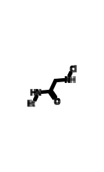 CCNC(=O)CNCl